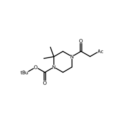 CC(=O)CC(=O)N1CCN(C(=O)OC(C)(C)C)C(C)(C)C1